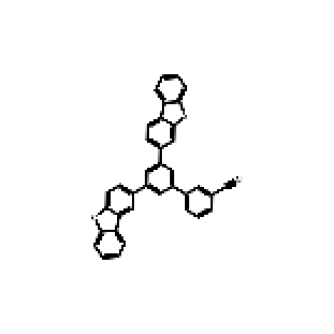 N#Cc1cccc(-c2cc(-c3ccc4c(c3)sc3ccccc34)cc(-c3ccc4oc5ccccc5c4c3)c2)c1